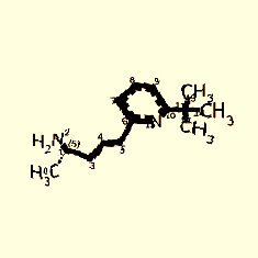 C[C@H](N)CCCc1cccc(C(C)(C)C)n1